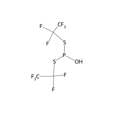 OP(SC(F)(F)C(F)(F)F)SC(F)(F)C(F)(F)F